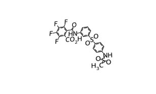 CS(=O)(=O)Nc1ccc(S(=O)(=O)c2cccc(NC(=O)c3c(F)c(F)c(F)c(F)c3C(=O)O)c2)cc1